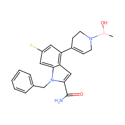 CB(O)N1CC=C(c2cc(F)cc3c2cc(C(N)=O)n3Cc2ccccc2)CC1